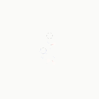 Cc1cccc(F)c1N1Cc2cnc(N)nc2N([C@H]2CCCCN(C(=O)OC(C)(C)C)C2)C1=O